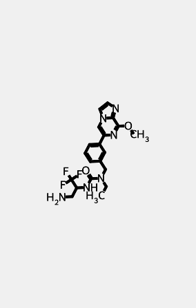 CCN(Cc1cccc(-c2cn3ccnc3c(OC)n2)c1)C(=O)NC(CN)C(F)(F)F